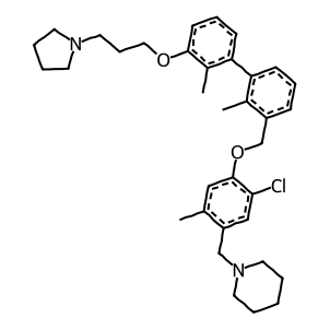 Cc1cc(OCc2cccc(-c3cccc(OCCCN4CCCC4)c3C)c2C)c(Cl)cc1CN1CCCCC1